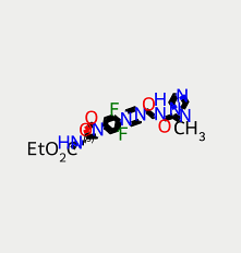 CCOC(=O)NC[C@H]1CN(c2cc(F)c(N3CCN(C(=O)CNC(=O)c4c(C)nc5cnccn45)CC3)c(F)c2)C(=O)O1